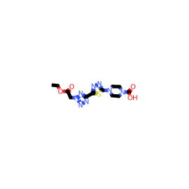 CCOC(=O)Cn1nnc(-c2nnc(N3CCN(C(=O)O)CC3)s2)n1